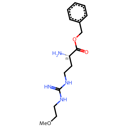 COCCNC(=N)NCC[C@H](N)C(=O)OCc1ccccc1